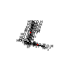 CC(C)C[C@H](N)C(=O)O.CC(C)C[C@H](N)C(=O)O.CC[C@H](C)[C@H](N)C(=O)O.CC[C@H](C)[C@H](N)C(=O)O.NCC(=O)O.NCC(=O)O.NCC(=O)O.NCCCC[C@H](N)C(=O)O.N[C@@H](CO)C(=O)O.N[C@@H](CS)C(=O)O.N[C@@H](CS)C(=O)O.N[C@@H](Cc1c[nH]c2ccccc12)C(=O)O